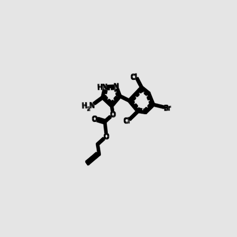 C=CCOC(=O)Oc1c(-c2c(Cl)cc(Br)cc2Cl)n[nH]c1N